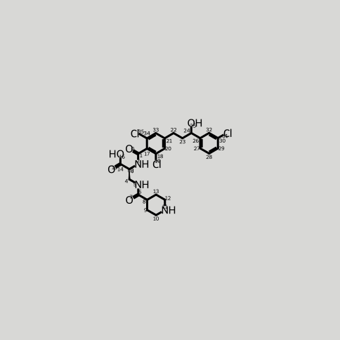 O=C(N[C@@H](CNC(=O)C1CCNCC1)C(=O)O)c1c(Cl)cc(CCC(O)c2cccc(Cl)c2)cc1Cl